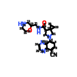 N#Cc1ccc(N2CC(C(=O)NCC3CNCCO3)C3(CC3)C2)c2nccnc12